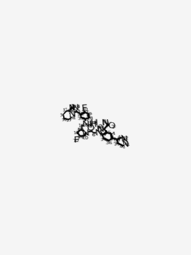 NC(=O)c1nn(CC(=O)N2C[C@H](F)C[C@H]2CNc2ccc(F)c(-c3nnc4n3CCCCC4)c2)c2ccc(-c3ccnnc3)cc12